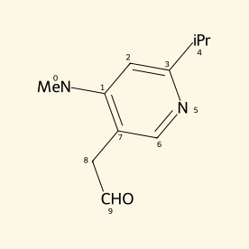 CNc1cc(C(C)C)ncc1CC=O